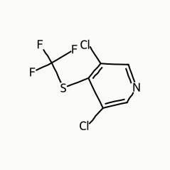 FC(F)(F)Sc1c(Cl)cncc1Cl